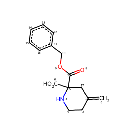 C=C1CCNC(C(=O)O)(C(=O)OCc2ccccc2)C1